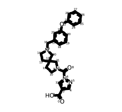 O=C(O)c1cnn(C(=O)N2CCC3(CCN(Cc4cccc(Oc5ccccc5)c4)C3)C2)c1